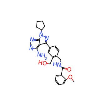 COc1ccccc1C(=O)NCc1ccc(-c2nn(C3CCCC3)c3ncnc(N)c23)cc1CO